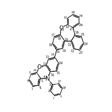 c1ccc(N2c3ccccc3Oc3cc(-c4ccc5c(c4)-c4ccccc4-c4ccccc4O5)ccc32)cc1